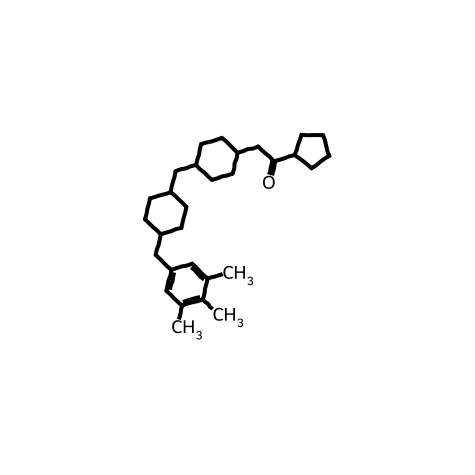 Cc1cc(CC2CCC(CC3CCC(CC(=O)C4CCCC4)CC3)CC2)cc(C)c1C